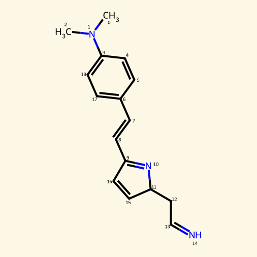 CN(C)c1ccc(/C=C/C2=NC(CC=N)C=C2)cc1